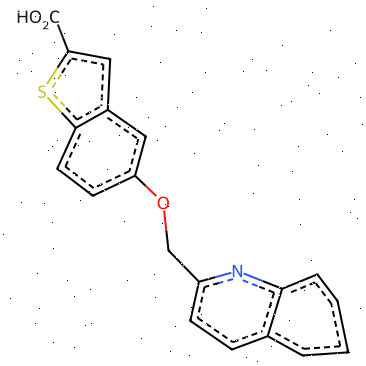 O=C(O)c1cc2cc(OCc3ccc4ccccc4n3)ccc2s1